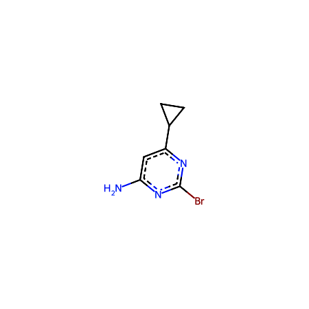 Nc1cc(C2CC2)nc(Br)n1